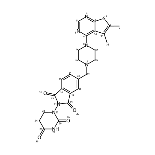 Cc1sc2ncnc(N3CCN(Cc4ccc5c(c4)C(=O)N(N4CCC(=O)NC4=O)C5=O)CC3)c2c1C